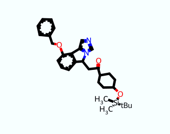 CC(C)(C)[Si](C)(C)OC1CCC(C(=O)CC2c3cccc(OCc4ccccc4)c3-c3cncn32)CC1